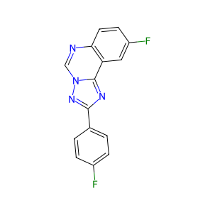 Fc1ccc(-c2nc3c4cc(F)ccc4ncn3n2)cc1